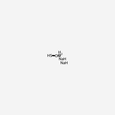 O.OS.[NaH].[NaH]